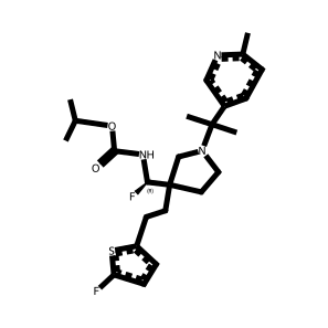 Cc1ccc(C(C)(C)N2CCC(CCc3ccc(F)s3)([C@@H](F)NC(=O)OC(C)C)C2)cn1